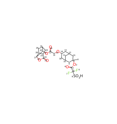 CC1(OC(=O)C(F)(F)S(=O)(=O)O)CC2CC(CC(OCC(=O)OC3C4CC5C(=O)OC3C5C4)C2)C1